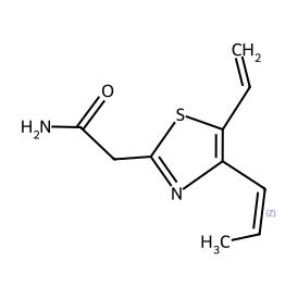 C=Cc1sc(CC(N)=O)nc1/C=C\C